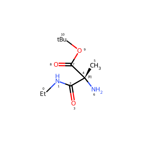 CCNC(=O)[C@@](C)(N)C(=O)OC(C)(C)C